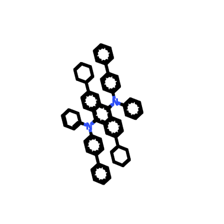 C1=CCCC(N(c2ccc(-c3ccccc3)cc2)c2c3cc(C4CCCCC4)ccc3c(N(c3ccccc3)c3ccc(-c4ccccc4)cc3)c3cc(C4CCCCC4)ccc23)=C1